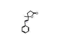 CC1(/C=C/c2ccccc2)CCC(=O)O1